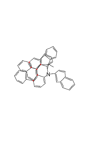 CC1(C)c2ccccc2-c2cccc(-c3c(-c4ccccc4)cccc3N(c3ccc4ccccc4c3)c3ccccc3-c3cccc4ccccc34)c21